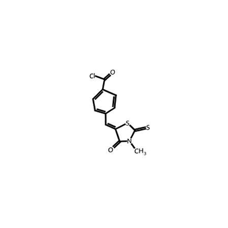 CN1C(=O)/C(=C/c2ccc(C(=O)Cl)cc2)SC1=S